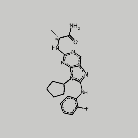 C[C@@H](Nc1ncc2nc(Nc3ccccc3F)n(C3CCCC3)c2n1)C(N)=O